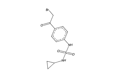 O=C(CBr)c1ccc(NS(=O)(=O)NC2CC2)cc1